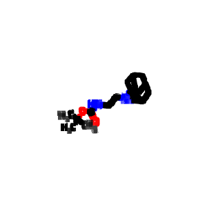 CC(C)(C)OC(=O)NCCNC12CC3CC(CC(C3)C1)C2